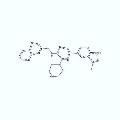 Cc1n[nH]c2ccc(-c3cnc(NCc4ccc5ccccc5n4)c(N4CCNCC4)n3)cc12